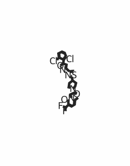 Cc1ccc(C(F)F)c(=O)n1CC(=O)N1CCC(c2nc(C3=NOC(c4c(Cl)cccc4Cl)C3)cs2)CC1